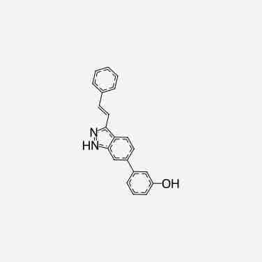 Oc1cccc(-c2ccc3c(/C=C/c4ccccc4)n[nH]c3c2)c1